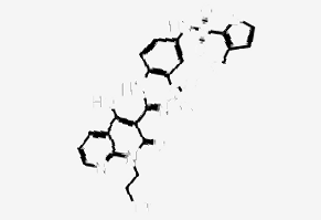 CC(C)CCn1c(=O)c(C2=NS(=O)(=O)c3cc(NS(=O)(=O)c4sccc4Cl)ccc3N2)c(O)c2cccnc21